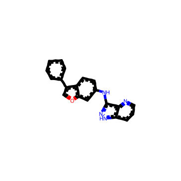 c1ccc(-c2coc3cc(Nc4n[nH]c5cccnc45)ccc23)cc1